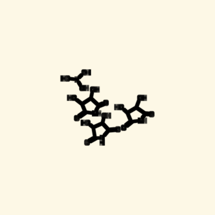 O=C1NC(=O)C(O)C1O.O=C1NC(=O)C(O)C1O.O=C1NC(=O)C(O)C1O.OB(O)O